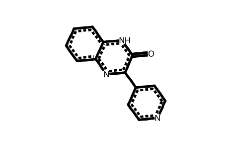 O=c1[nH]c2ccccc2nc1-c1ccncc1